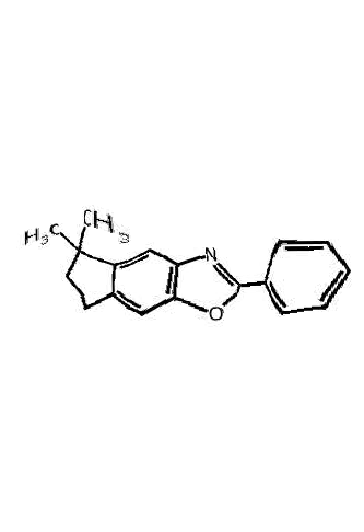 CC1(C)CCc2cc3oc(-c4ccccc4)nc3cc21